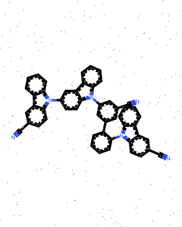 N#Cc1cc(-c2ccccc2-n2c3ccccc3c3cc(C#N)ccc32)cc(-n2c3ccccc3c3cc(-n4c5ccccc5c5cc(C#N)ccc54)ccc32)c1